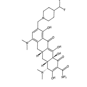 CN(C)c1cc(CN2CCC(C(F)F)CC2)c(O)c2c1C[C@H]1C[C@H]3[C@@H](N(C)C)C(O)=C(C(N)=O)C(=O)[C@@]3(O)C(O)=C1C2=O